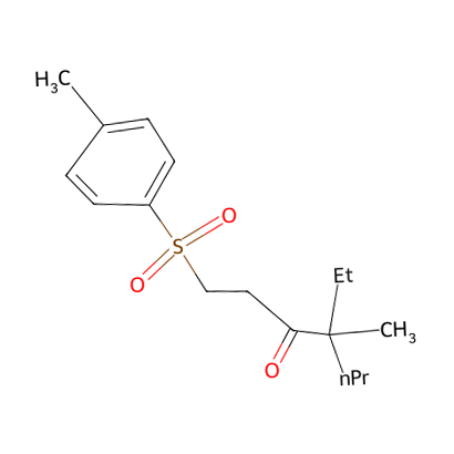 CCCC(C)(CC)C(=O)CCS(=O)(=O)c1ccc(C)cc1